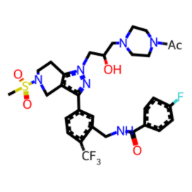 CC(=O)N1CCN(CC(O)Cn2nc(-c3ccc(C(F)(F)F)c(CNC(=O)c4ccc(F)cc4)c3)c3c2CCN(S(C)(=O)=O)C3)CC1